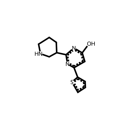 Oc1cc(-c2cccs2)nc(C2CCCNC2)n1